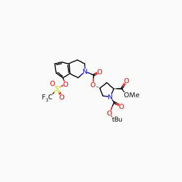 COC(=O)[C@@H]1C[C@@H](OC(=O)N2CCc3cccc(OS(=O)(=O)C(F)(F)F)c3C2)CN1C(=O)OC(C)(C)C